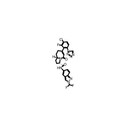 O=C(Nc1ccc2nn(C(F)F)cc2c1)[C@@H]1CC[C@@H]2CCC(c3c(-n4cnnn4)ccc(Cl)c3F)=CC(=O)N21